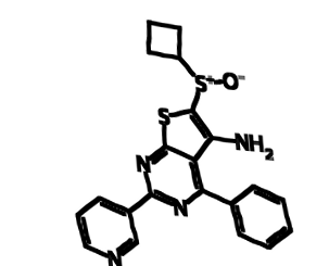 Nc1c([S+]([O-])C2CCC2)sc2nc(-c3cccnc3)nc(-c3ccccc3)c12